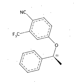 C[C@H](Oc1ccc(C#N)c(C(F)(F)F)c1)c1ccccc1